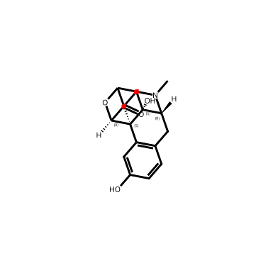 CN1CC[C@@]23c4cc(O)ccc4C[C@@H]1[C@]2(O)CC1O[C@H]3C1=O